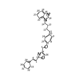 C(=Cc1nc(COc2ccc(CCCCn3cnc4ccccc43)cc2)co1)c1ccccc1